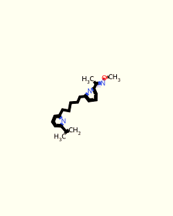 C=C(C)c1cccc(CCCCCc2cccc(/C(C)=N/OC)n2)n1